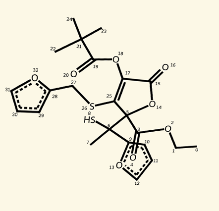 CCOC(=O)C1(C(C)(S)c2ccco2)OC(=O)C(OC(=O)C(C)(C)C)=C1SCc1ccco1